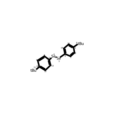 CC(C)(C)c1ccc([Se][Se]c2ccc(C(C)(C)C)cc2)cc1